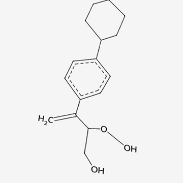 C=C(c1ccc(C2CCCCC2)cc1)C(CO)OO